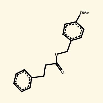 COc1ccc(COC(=O)CCc2ccccc2)cc1